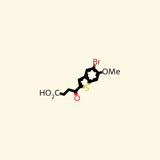 COc1cc2sc(C(=O)CCC(=O)O)cc2cc1Br